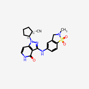 CN1Cc2cc(Nc3nn([C@H]4CCC[C@@H]4C#N)c4cc[nH]c(=O)c34)ccc2S1(=O)=O